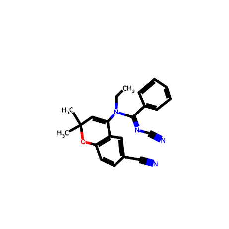 CCN(C1=CC(C)(C)Oc2ccc(C#N)cc21)C(=NC#N)c1ccccc1